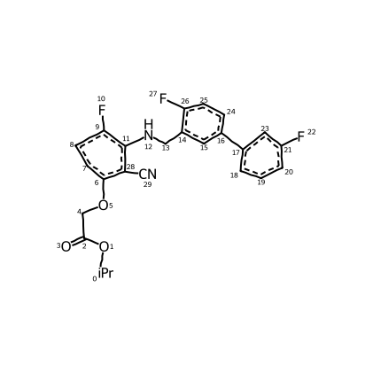 CC(C)OC(=O)COc1ccc(F)c(NCc2cc(-c3cccc(F)c3)ccc2F)c1C#N